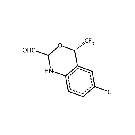 O=CC1Nc2ccc(Cl)cc2[C@@H](C(F)(F)F)O1